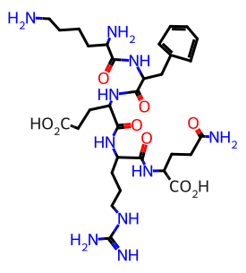 N=C(N)NCCCC(NC(=O)C(CCC(=O)O)NC(=O)C(Cc1ccccc1)NC(=O)C(N)CCCCN)C(=O)NC(CCC(N)=O)C(=O)O